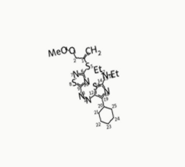 C=C(COOC)Sc1nsc(/N=N\c2sc(N(CC)CC)nc2C2CCCCC2)n1